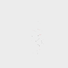 CCOC(=O)C(=O)C1CSc2cc(OC(F)(F)F)ccc2C1=O